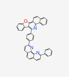 c1ccc(-c2ccc3ccc4ccc(-c5ccc(-c6nc7c8ccccc8ccc7c7oc8ccccc8c67)cc5)nc4c3n2)cc1